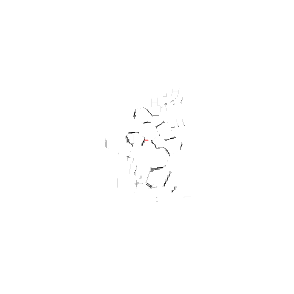 CC1=Cc2c(-c3cc(C(C)(C)C)cc(C(C)(C)C)c3)ccc(C)c2C1C1=C(C)[CH]([Hf+2][SiH](C)C)c2cccc(-c3ccc(C(C)(C)C)cc3)c21.[Cl-].[Cl-]